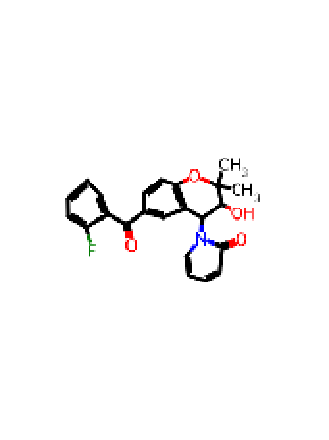 CC1(C)Oc2ccc(C(=O)c3ccccc3F)cc2C(n2ccccc2=O)C1O